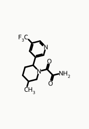 CC1CCC(c2cncc(C(F)(F)F)c2)N(C(=O)C(N)=O)C1